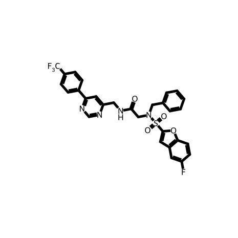 O=C(CN(Cc1ccccc1)S(=O)(=O)c1cc2cc(F)ccc2o1)NCc1cc(-c2ccc(C(F)(F)F)cc2)ncn1